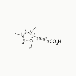 Cc1cc(C)c(C#CC(=O)O)c(C)c1